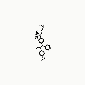 CCC(=C(c1ccccc1)c1ccc(N(CCCN(C)C)S(C)(=O)=O)cc1)c1ccc(OC)cc1